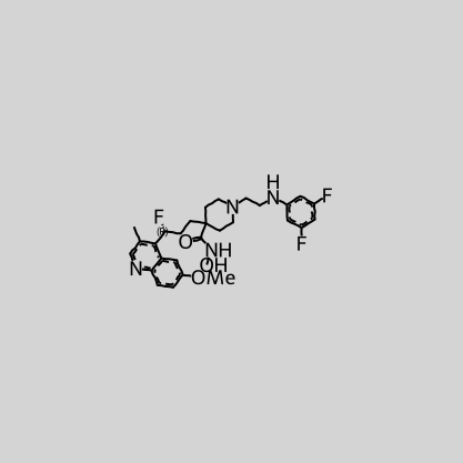 COc1ccc2ncc(C)c([C@H](F)CCC3(C(=O)NO)CCN(CCNc4cc(F)cc(F)c4)CC3)c2c1